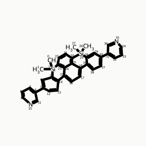 C[Si]1(C)c2cc(-c3cccnc3)ccc2-c2ccc3c4c(ccc1c24)[Si](C)(C)c1cc(-c2cccnc2)ccc1-3